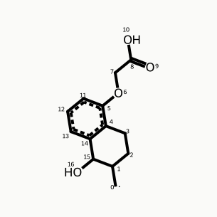 [CH2]C1CCc2c(OCC(=O)O)cccc2C1O